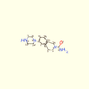 NC(=O)N1CCc2cc(N3CCNCC3)ccc2C1